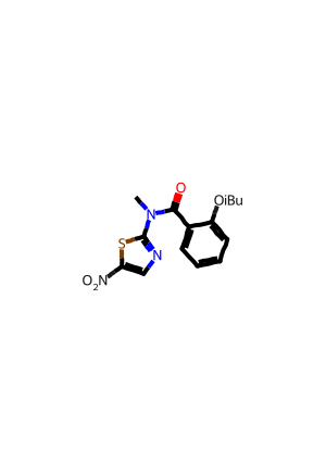 CC(C)COc1ccccc1C(=O)N(C)c1ncc([N+](=O)[O-])s1